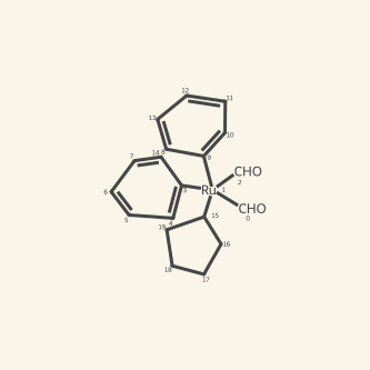 O=[CH][Ru]([CH]=O)([c]1ccccc1)([c]1ccccc1)[CH]1CCCC1